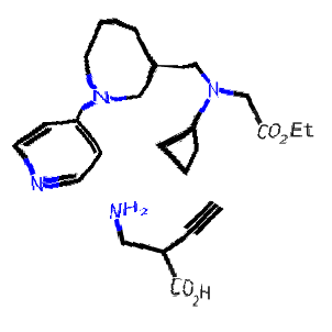 C#CC(CN)C(=O)O.CCOC(=O)CN(C[C@@H]1CCCN(c2ccncc2)C1)C1CC1